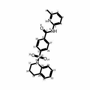 Cc1cccc(NC(=O)c2ccc(S(=O)(=O)N3CCCc4ccccc43)cc2)n1